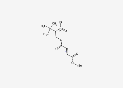 CCCCOC(=O)/C=C/C(=O)OCC([PH](=O)CC)[N+](C)(C)C